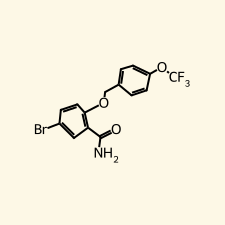 NC(=O)c1cc(Br)ccc1OCc1ccc(OC(F)(F)F)cc1